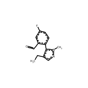 CCc1cnn(C)c1-c1ccc(F)cc1C=O